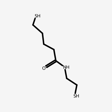 O=C(CCCCS)NCCS